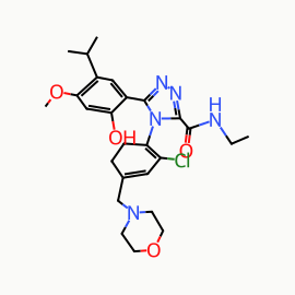 CCNC(=O)c1nnc(-c2cc(C(C)C)c(OC)cc2O)n1C1=C(Cl)C=C(CN2CCOCC2)CC1